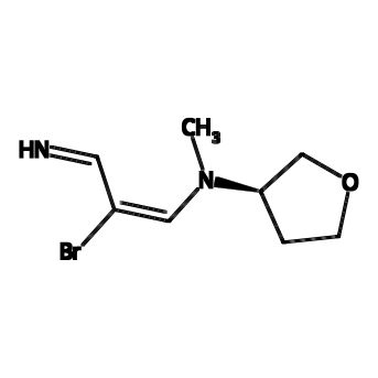 CN(/C=C(/Br)C=N)[C@@H]1CCOC1